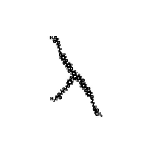 C=CC(=O)OCCCCCCOc1ccc(OC(=O)c2ccc(OC(=O)c3ccc4c(c3)nc(Sc3ccc(OCCCCCCOC(=O)C=C)cc3)c3cc(C(=O)Oc5ccc(C(=O)Oc6ccc(OCCCCCCOC(=O)C=C)cc6)cc5)ccc34)cc2)cc1